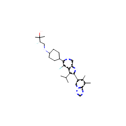 Cc1c(-c2[nH]c3cnc(C4CCC(NC[C@@H](F)C(C)(C)O)CC4)c(F)c3c2C(C)C)cn2ncnc2c1C